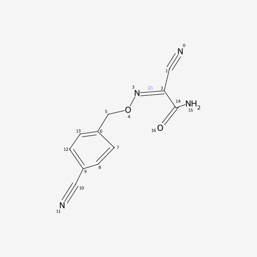 N#C/C(=N/OCc1ccc(C#N)cc1)C(N)=O